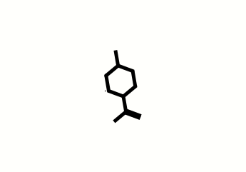 C=C(C)C1[CH]CC(C)CC1